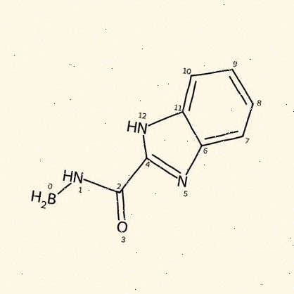 BNC(=O)c1nc2ccccc2[nH]1